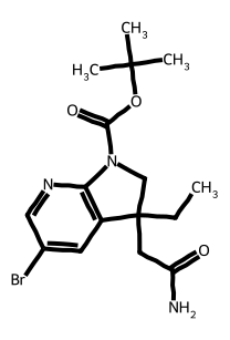 CCC1(CC(N)=O)CN(C(=O)OC(C)(C)C)c2ncc(Br)cc21